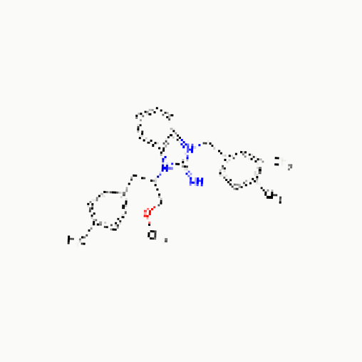 COCC(Cc1ccc(C)cc1)n1c(=N)n(Cc2ccc(C)c(C)c2)c2ccccc21